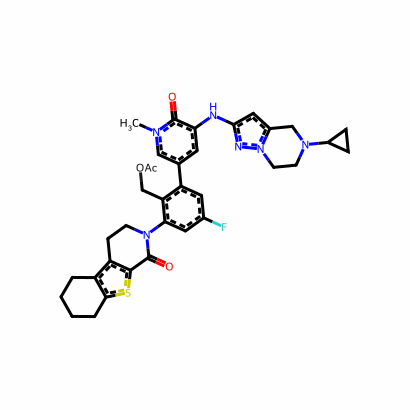 CC(=O)OCc1c(-c2cc(Nc3cc4n(n3)CCN(C3CC3)C4)c(=O)n(C)c2)cc(F)cc1N1CCc2c(sc3c2CCCC3)C1=O